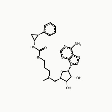 CN(CCCNC(=O)N[C@@H]1C[C@H]1c1ccccc1)C[C@H]1O[C@@H](n2cnc3c(N)ncnc32)[C@H](O)[C@@H]1O